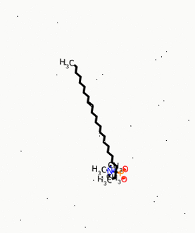 CCCCCCCCC=CCCCCCCCCCCCCC(CC)(P(=O)=O)[N+](C)(C)C